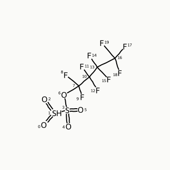 O=[SH](=O)S(=O)(=O)OC(F)(F)C(F)(F)C(F)(F)C(F)(F)F